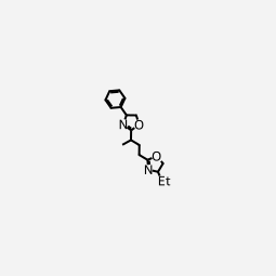 CCC1COC(CCC(C)C2=NC(c3ccccc3)CO2)=N1